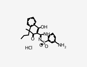 CCCC1(C)C(=O)C(C2=NS(=O)(=O)c3cc(N)ccc3N2)=C(O)c2ccccc21.Cl